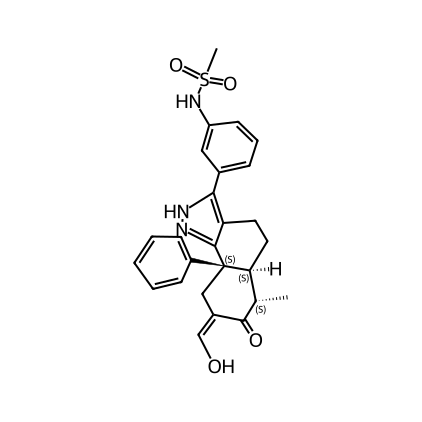 C[C@@H]1C(=O)C(=CO)C[C@]2(c3ccccc3)c3n[nH]c(-c4cccc(NS(C)(=O)=O)c4)c3CC[C@@H]12